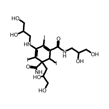 NC(=O)C1(CC(O)CO)C(I)=C(NCC(O)CO)C(I)=C(C(=O)NCC(O)CO)C1I